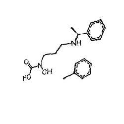 C[C@H](NCCCN(O)C(=O)O)c1ccccc1.Cc1ccccc1